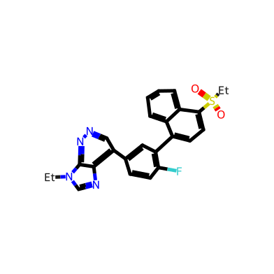 CCn1cnc2c(-c3ccc(F)c(-c4ccc(S(=O)(=O)CC)c5ccccc45)c3)cnnc21